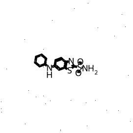 NS(=O)(=O)c1nc2ccc(NC3CCCCC3)cc2s1